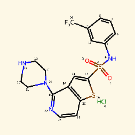 Cl.O=S(=O)(Nc1cccc(C(F)(F)F)c1)c1cc2c(N3CCNCC3)nccc2s1